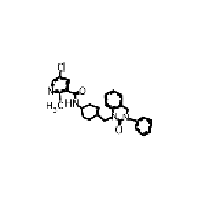 Cc1ncc(Cl)cc1C(=O)NC1CCC(CN2C(=O)N(c3ccccc3)Cc3ccccc32)CC1